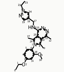 CCOc1ccc(-n2c(C)c3c(C)nnc(NCc4cnn(CC)c4)c3c2C)c(OC)c1